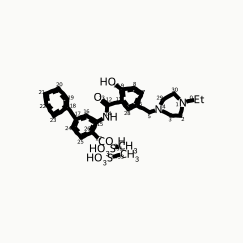 CCN1CCN(Cc2ccc(O)c(C(=O)Nc3cc(-c4ccccc4)ccc3C(=O)O)c2)CC1.CS(=O)(=O)O.CS(=O)(=O)O